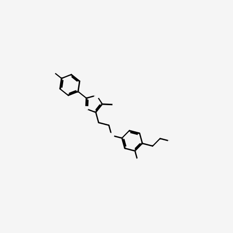 CCc1cc(OCCc2nc(-c3ccc(F)cc3)oc2C)ccc1CCC(=O)O